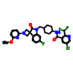 CC(C)(C)Oc1cccc(N2CC3(C2)C(=O)N(CC2CCC(NC(=O)c4cc(Cl)cnc4C(F)F)CC2)c2cc(F)ccc23)n1